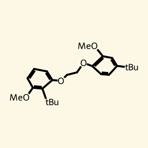 COc1cc(C(C)(C)C)ccc1OCCOc1cccc(OC)c1C(C)(C)C